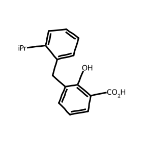 CC(C)c1ccccc1Cc1cccc(C(=O)O)c1O